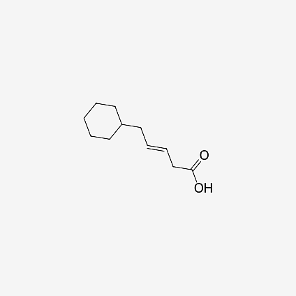 O=C(O)CC=CCC1CCCCC1